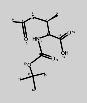 CC(=O)S[C@@H](C)C(NC(=O)OC(C)(C)C)C(=O)O